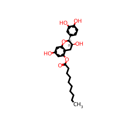 CCCCCCCCCC(=O)Oc1cc(O)cc2c1C[C@H](O)[C@H](c1ccc(O)c(O)c1)O2